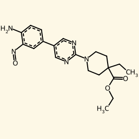 CCOC(=O)C1(CC)CCN(c2ncc(-c3ccc(N)c(N=O)c3)cn2)CC1